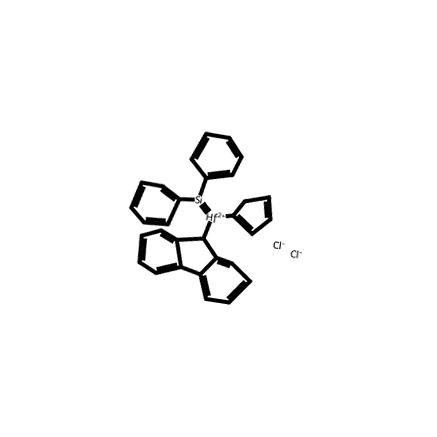 C1=CC[C]([Hf+2]([CH]2c3ccccc3-c3ccccc32)=[Si](c2ccccc2)c2ccccc2)=C1.[Cl-].[Cl-]